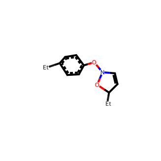 CCc1ccc(ON2C=CC(CC)O2)cc1